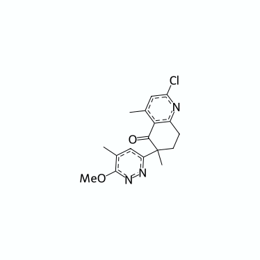 COc1nnc(C2(C)CCc3nc(Cl)cc(C)c3C2=O)cc1C